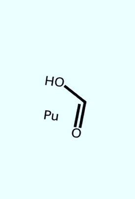 O=CO.[Pu]